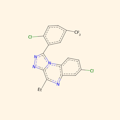 CCc1nc2cc(Cl)ccc2n2c(-c3cc(C(F)(F)F)ccc3Cl)nnc12